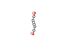 c1coc(-c2ccc(-c3ccc4cc5cc6cc(-c7ccc(-c8ccco8)cc7)ccc6cc5cc4c3)cc2)c1